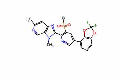 CCS(=O)(=O)c1cc(-c2cccc3c2OC(F)(F)O3)cnc1-c1nc2cc(C(F)(F)F)ncc2n1C